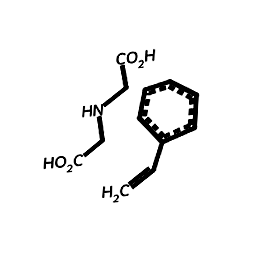 C=Cc1ccccc1.O=C(O)CNCC(=O)O